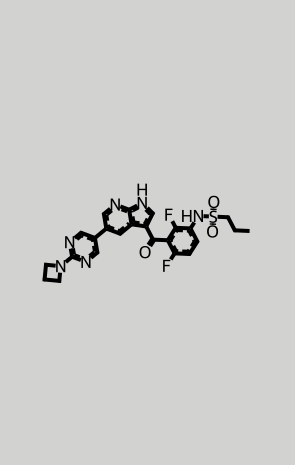 CCCS(=O)(=O)Nc1ccc(F)c(C(=O)c2c[nH]c3ncc(-c4cnc(N5CCC5)nc4)cc23)c1F